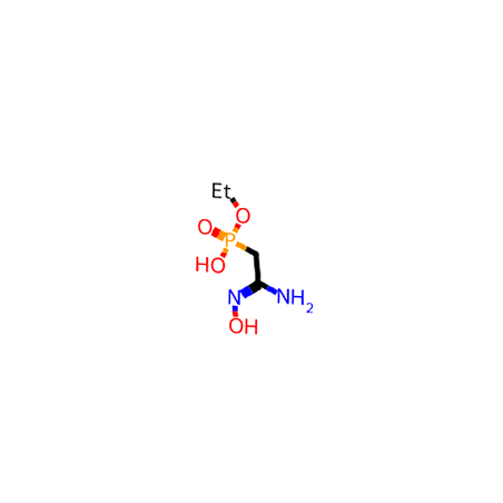 CCOP(=O)(O)CC(N)=NO